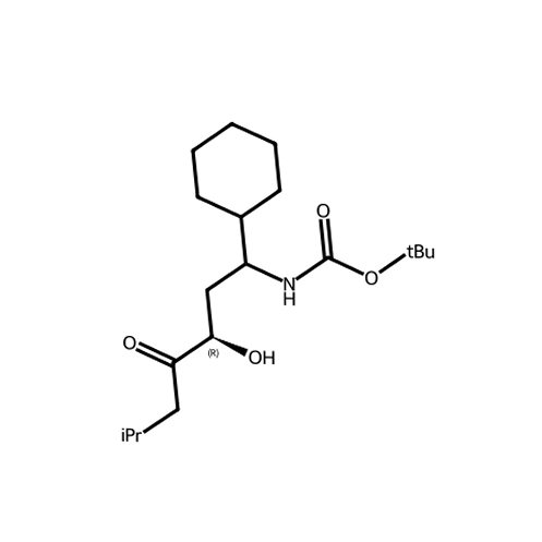 CC(C)CC(=O)[C@H](O)CC(NC(=O)OC(C)(C)C)C1CCCCC1